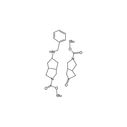 CC(C)(C)OC(=O)N1CC2CC(=O)CC2C1.CC(C)(C)OC(=O)N1CC2CC(NCc3ccccc3)CC2C1